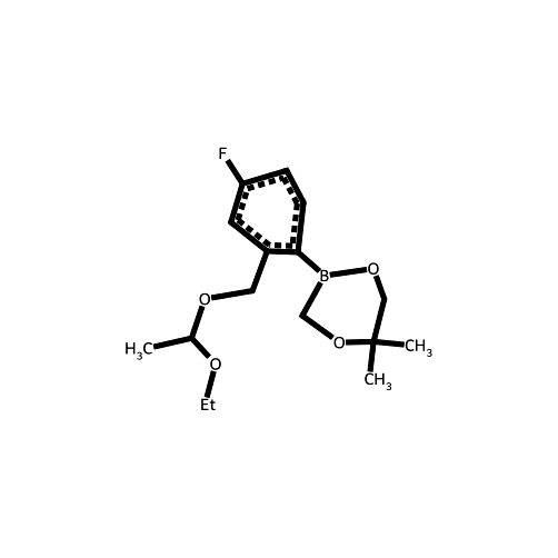 CCOC(C)OCc1cc(F)ccc1B1COC(C)(C)CO1